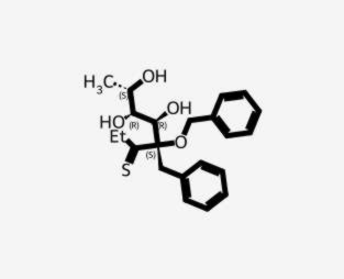 CCC(=S)[C@@](Cc1ccccc1)(OCc1ccccc1)[C@H](O)[C@H](O)[C@H](C)O